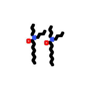 CCCCCCCC(=O)N(CCCC)CCCC.CCCCCCCC(=O)N(CCCC)CCCC